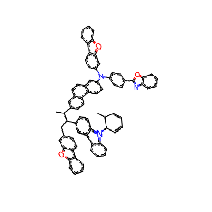 CC1C=CC=CC1n1c2ccccc2c2cc(C(Cc3ccc4c(c3)oc3ccccc34)C(C)c3ccc4c(ccc5cc(N(c6ccc(-c7nc8ccccc8o7)cc6)c6ccc7c(c6)oc6ccccc67)ccc54)c3)ccc21